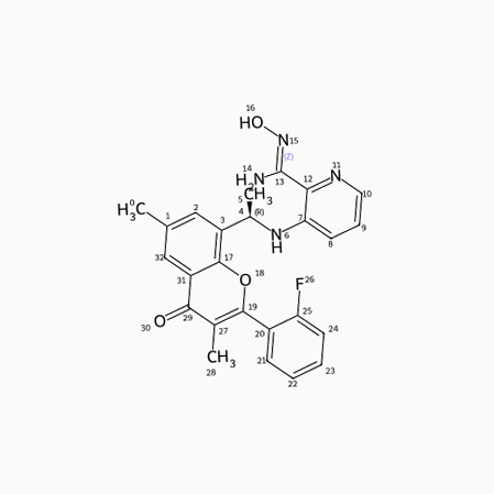 Cc1cc([C@@H](C)Nc2cccnc2/C(N)=N/O)c2oc(-c3ccccc3F)c(C)c(=O)c2c1